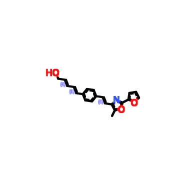 Cc1oc(-c2ccco2)nc1/C=C/c1ccc(/C=C/C=C/CO)cc1